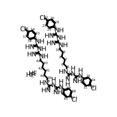 F.F.N=C(NCCCCCCNC(=N)NC(=N)Nc1ccc(Cl)cc1)NC(=N)Nc1ccc(Cl)cc1.N=C(NCCCCCCNC(=N)NC(=N)Nc1ccc(Cl)cc1)NC(=N)Nc1ccc(Cl)cc1